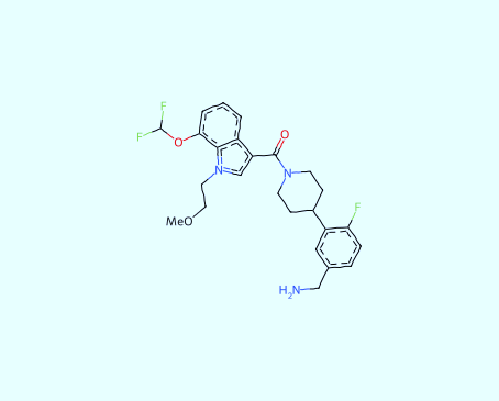 COCCn1cc(C(=O)N2CCC(c3cc(CN)ccc3F)CC2)c2cccc(OC(F)F)c21